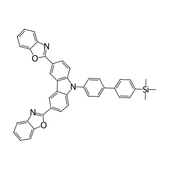 C[Si](C)(C)c1ccc(-c2ccc(-n3c4ccc(-c5nc6ccccc6o5)cc4c4cc(-c5nc6ccccc6o5)ccc43)cc2)cc1